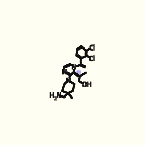 C=C(c1cccc(Cl)c1Cl)N1C=CN=C(N2CCC(C)(CN)CC2)/C1=C(/C)CO